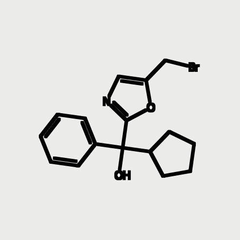 OC(c1ccccc1)(c1ncc(CBr)o1)C1CCCC1